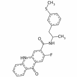 CSc1cccc(CC(C)NC(=O)c2cc3[nH]c4ccccc4c(=O)c3cc2F)c1